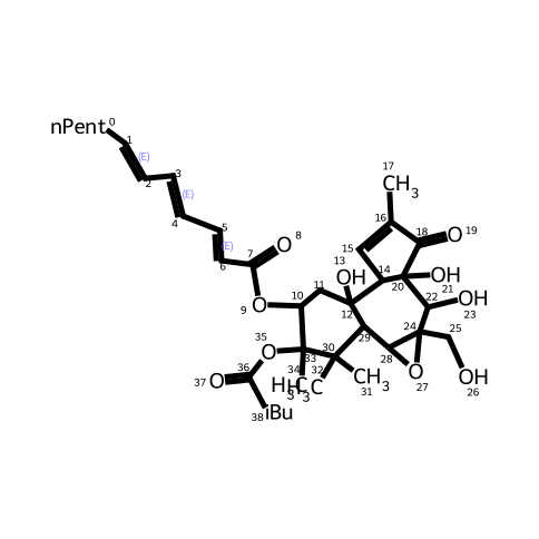 CCCCC/C=C/C=C/C=C/C(=O)OC1CC2(O)C3C=C(C)C(=O)C3(O)C(O)C3(CO)OC3C2C(C)(C)C1(C)OC(=O)C(C)CC